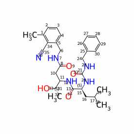 Cc1cccc(CNC(=O)CC(NC(=O)[C@H](CC(C)C)NC(=O)NCc2ccccc2)[C@H](C)O)c1C#N